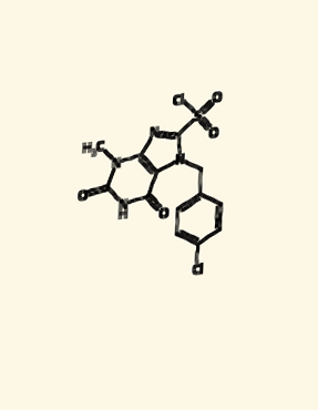 Cn1c(=O)[nH]c(=O)c2c1nc(S(=O)(=O)Cl)n2Cc1ccc(Cl)cc1